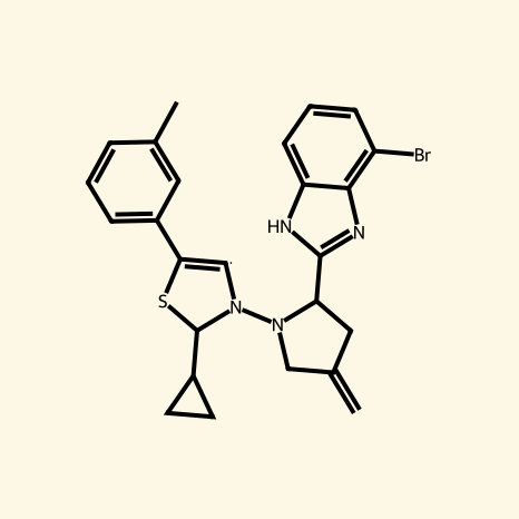 C=C1CC(c2nc3c(Br)cccc3[nH]2)N(N2[C]=C(c3cccc(C)c3)SC2C2CC2)C1